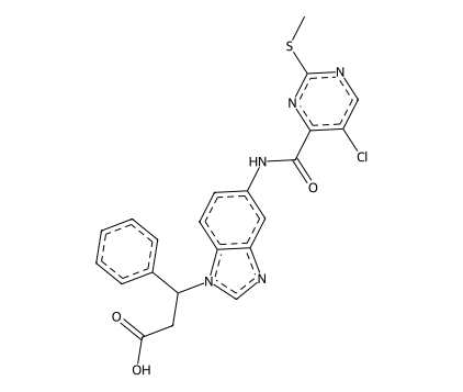 CSc1ncc(Cl)c(C(=O)Nc2ccc3c(c2)ncn3C(CC(=O)O)c2ccccc2)n1